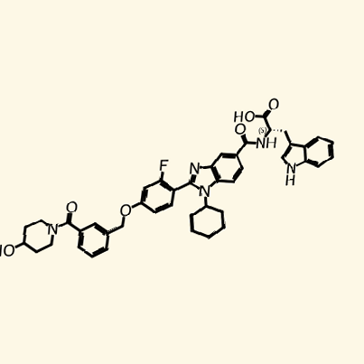 O=C(N[C@@H](Cc1c[nH]c2ccccc12)C(=O)O)c1ccc2c(c1)nc(-c1ccc(OCc3cccc(C(=O)N4CCC(O)CC4)c3)cc1F)n2C1CCCCC1